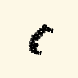 O=C(O)c1ccc(-c2ccc(/C=C/C=C3Cc4ccc(O)cc4C3=O)cc2)cc1